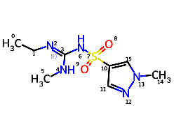 CC/N=C(\NC)NS(=O)(=O)c1cnn(C)c1